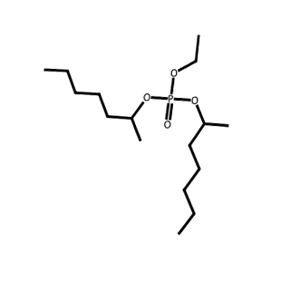 CCCCCC(C)OP(=O)(OCC)OC(C)CCCCC